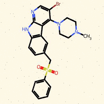 CN1CCN(c2c(Br)cnc3[nH]c4ccc(CS(=O)(=O)c5ccccc5)cc4c23)CC1